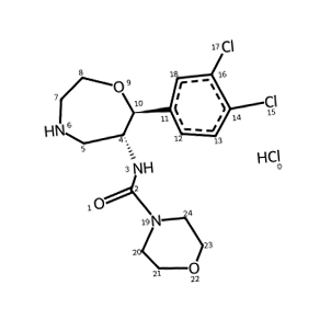 Cl.O=C(N[C@@H]1CNCCO[C@H]1c1ccc(Cl)c(Cl)c1)N1CCOCC1